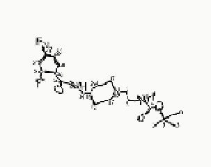 CC(C)(C)OC(=O)NCCN1CCC(CNC(=O)c2ccc(F)cc2F)CC1